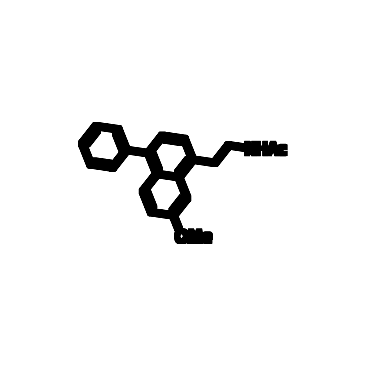 COc1ccc2c(-c3ccccc3)ccc(CCNC(C)=O)c2c1